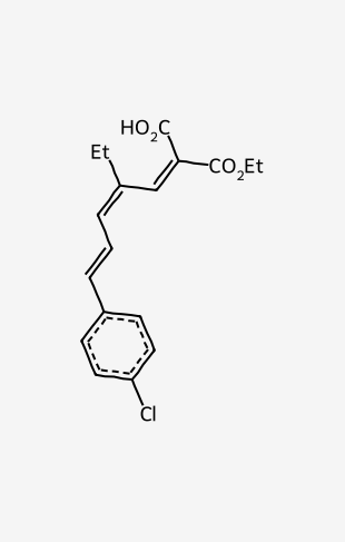 CCOC(=O)C(=CC(=CC=Cc1ccc(Cl)cc1)CC)C(=O)O